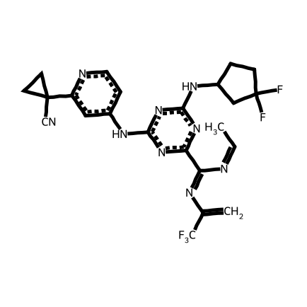 C=C(/N=C(\N=C/C)c1nc(Nc2ccnc(C3(C#N)CC3)c2)nc(NC2CCC(F)(F)C2)n1)C(F)(F)F